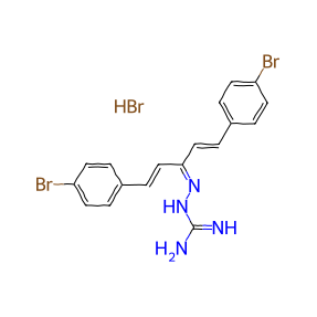 Br.N=C(N)NN=C(/C=C/c1ccc(Br)cc1)/C=C/c1ccc(Br)cc1